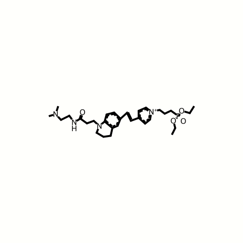 CCOP(=O)(CCC[n+]1ccc(C=Cc2ccc3c(c2)CCCN3CCC(=O)NCCN(C)C)cc1)OCC